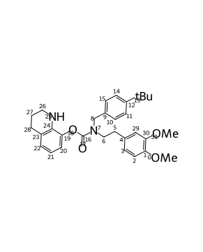 COc1ccc(CCN(Cc2ccc(C(C)(C)C)cc2)C(=O)Oc2cccc3c2NCCC3)cc1OC